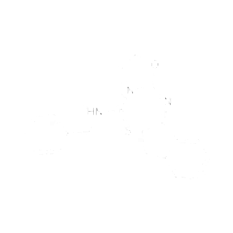 S=C(NCc1ccccc1)N1CCO/C1=N/[C@H]1CCc2ccccc21